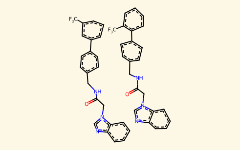 O=C(Cn1cnc2ccccc21)NCc1ccc(-c2cccc(C(F)(F)F)c2)cc1.O=C(Cn1cnc2ccccc21)NCc1ccc(-c2ccccc2C(F)(F)F)cc1